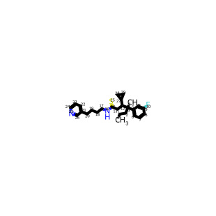 CCCC(C)(c1cccc(F)c1)C(CC(=S)NCCCCc1cccnc1)C1CC1